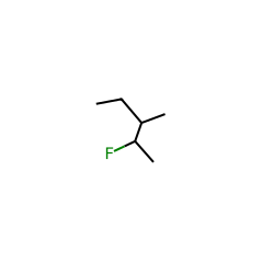 CCC(C)C(C)F